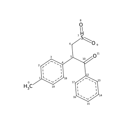 Cc1ccc(C(C[SH](=O)=O)C(=O)c2ccccc2)cc1